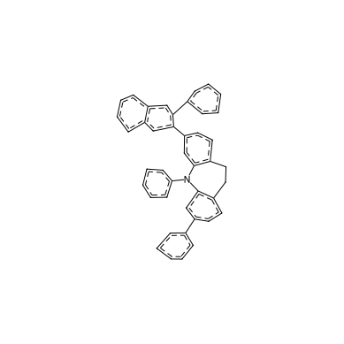 c1ccc(-c2ccc3c(c2)N(c2ccccc2)c2cc(-c4cc5ccccc5cc4-c4ccccc4)ccc2CC3)cc1